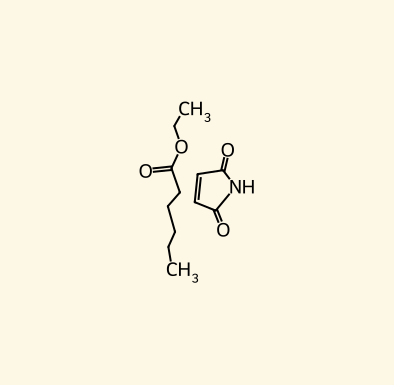 CCCCCC(=O)OCC.O=C1C=CC(=O)N1